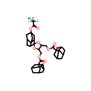 CC(F)(F)C(=O)OC12CC3CC(C1)C1(OC(COC(=O)C45CC6CC(C4)C(=O)C(C6)C5)C(COC(=O)C45CC6CC(C4)C(=O)C(C6)C5)O1)C(C3)C2